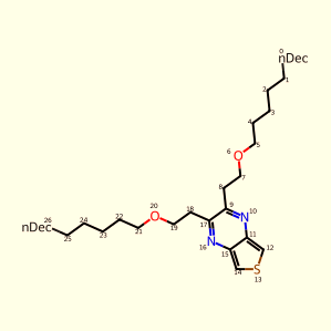 CCCCCCCCCCCCCCCOCCc1nc2cscc2nc1CCOCCCCCCCCCCCCCCC